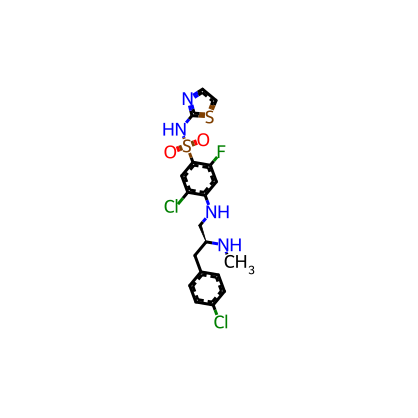 CN[C@H](CNc1cc(F)c(S(=O)(=O)Nc2nccs2)cc1Cl)Cc1ccc(Cl)cc1